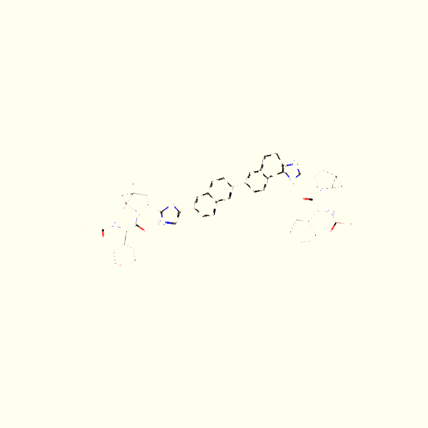 COC(=O)NC(C(=O)N1[C@@H]2C[C@@H]2C[C@H]1c1nc(-c2ccc3cc(-c4ccc5c(ccc6nc([C@@H]7C[C@H]8C[C@H]8N7C(=O)C(NC(=O)O)C7CCOCC7)[nH]c65)c4)ccc3c2)c[nH]1)C1CCOCC1